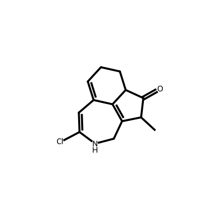 CC1C(=O)C2CCC=C3C=C(Cl)NCC1=C32